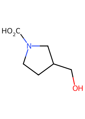 O=C(O)N1CCC(CO)C1